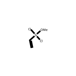 C=C[Si](Cl)(Cl)OC